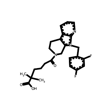 CC(C)(CCCC(=O)N1CCc2c(n(Cc3ccc(F)cc3F)c3ncccc23)C1)C(=O)O